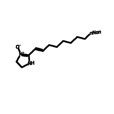 CCCCCCCCCCCCCCCC=CC1=[N+]([O-])CCN1